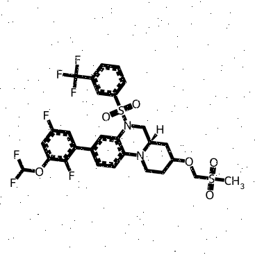 CS(=O)(=O)COC1CCN2c3ccc(-c4cc(F)cc(OC(F)F)c4F)cc3N(S(=O)(=O)c3cccc(C(F)(F)F)c3)C[C@@H]2C1